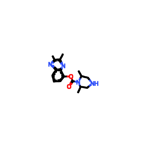 Cc1nc2cccc(OC(=O)N3C(C)CNCC3C)c2nc1C